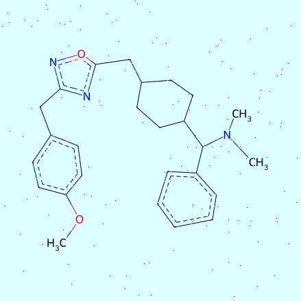 COc1ccc(Cc2noc(CC3CCC(C(c4ccccc4)N(C)C)CC3)n2)cc1